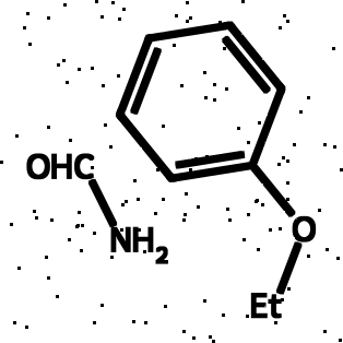 CCOc1ccccc1.NC=O